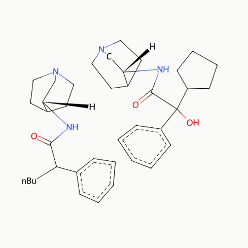 CCCCC(C(=O)N[C@H]1CN2CCC1CC2)c1ccccc1.O=C(N[C@H]1CN2CCC1CC2)C(O)(c1ccccc1)C1CCCC1